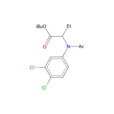 CCC(C(=O)OCC(C)C)N(C(C)=O)c1ccc(Cl)c(Cl)c1